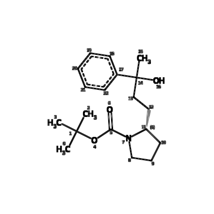 CC(C)(C)OC(=O)N1CCC[C@H]1CCC(C)(O)c1ccccc1